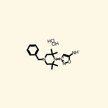 CC1(C)CN(Cc2ccccc2)CC(C)(C)N1[n+]1cc([NH-])on1.Cl.Cl